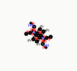 C=C(C)C(=O)NC1CCCC(OC(=O)C(c2ccc3c(c2)oc2ccccc23)N2C(=O)c3cc(Oc4ccc(C(C)C)cc4C)c4c5c(Oc6ccc(C(C)C)cc6C)cc6c7c(cc(Oc8ccc(C(C)C)cc8C)c(c8c(Oc9ccc(C(C)C)cc9C)cc(c3c48)C2=O)c75)C(=O)N(C(C(=O)OC2CCCC(NC(=O)C(=C)C)C2)c2ccc3c(c2)oc2ccccc23)C6=O)C1